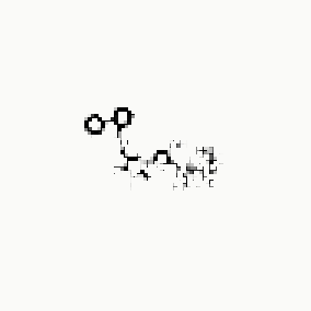 C=C1NC(=O)C(COCc2ccccc2-c2ccccc2)=CN1[C@H]1C[C@@H](O)[C@@H](COP(=O)(O)OP(=O)(O)OP(=O)(O)O)O1